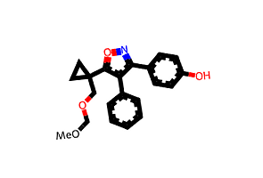 COCOCC1(c2onc(-c3ccc(O)cc3)c2-c2ccccc2)CC1